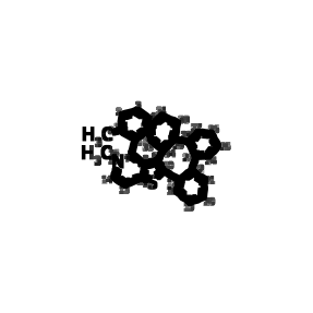 Cc1ccccc1-c1c2c3c(sc2cc[n+]1C)-c1ccccc1-c1ccccc1-c1ccccc1-3